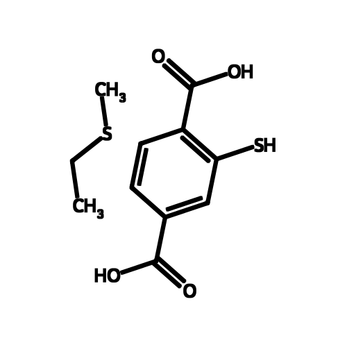 CCSC.O=C(O)c1ccc(C(=O)O)c(S)c1